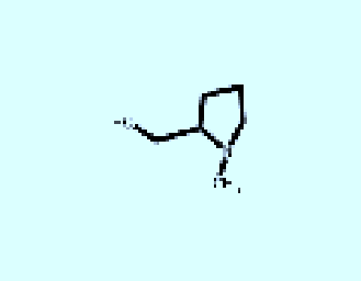 CN1[CH]CCC1CO